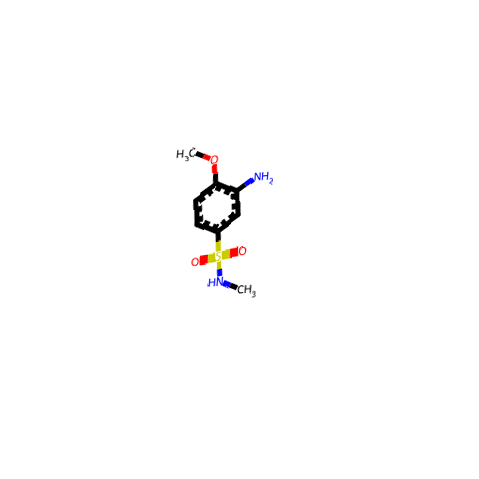 CNS(=O)(=O)c1ccc(OC)c(N)c1